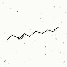 [CH2]CCCCCC=NOC